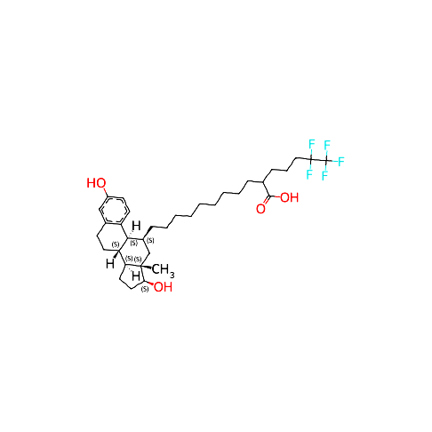 C[C@]12C[C@H](CCCCCCCCCC(CCCC(F)(F)C(F)(F)F)C(=O)O)[C@@H]3c4ccc(O)cc4CC[C@H]3[C@@H]1CC[C@@H]2O